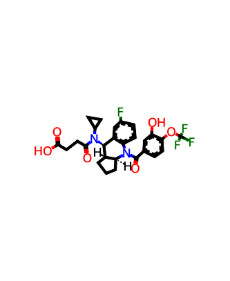 O=C(O)CCC(=O)N(C1CC1)[C@H]1c2cc(F)ccc2N(C(=O)c2ccc(OC(F)(F)F)c(O)c2)[C@H]2CCC[C@H]21